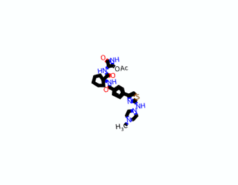 CC(=O)OC1NC(=O)C1NC(=O)C1(NC(=O)c2ccc(-c3csc(NN4CCN(C)CC4)n3)cc2)CCCCC1